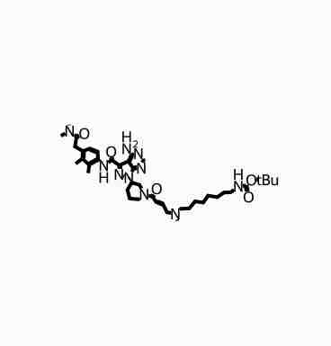 Cc1c(CC(=O)N(C)C)ccc(NC(=O)c2nn([C@@H]3CCCN(C(=O)/C=C/CN(C)CCCCCCCCNC(=O)OC(C)(C)C)C3)c3ncnc(N)c23)c1C